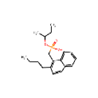 CCCCc1ccc2ccccc2c1CP(=O)(O)OC(C)CC